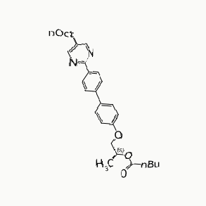 CCCCCCCCc1cnc(-c2ccc(-c3ccc(OC[C@H](C)OC(=O)CCCC)cc3)cc2)nc1